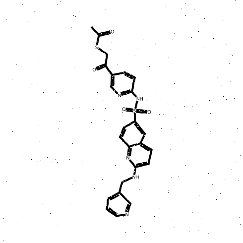 CC(=O)SCC(=O)c1ccc(NS(=O)(=O)c2ccc3nc(NCc4cccnc4)ccc3c2)nc1